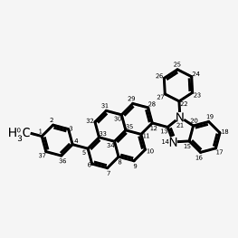 Cc1ccc(-c2ccc3ccc4c(-c5nc6ccccc6n5C5C=CC=CC5)ccc5ccc2c3c54)cc1